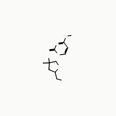 CC1(F)[C@@H](O)C(CO)O[C@H]1n1ccc(NO)nc1=O